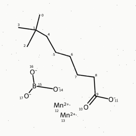 CC(C)(C)CCCCCC(=O)[O-].[Mn+2].[Mn+2].[O-]B([O-])[O-]